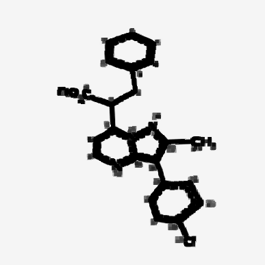 CCOC(=O)C(Cc1ccccc1)c1ccnc2c(-c3ccc(Cl)cc3)c(C)nn12